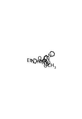 CCN1CCC(NC(=O)c2nn(S(C)(=O)=O)c3nc(N4CCCCCC4)ccc23)CC1